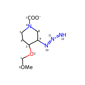 COCOC1CCN(C(=O)[O-])CC1N=[N+]=N